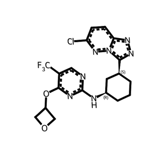 FC(F)(F)c1cnc(N[C@@H]2CCC[C@H](c3nnc4ccc(Cl)nn34)C2)nc1OC1COC1